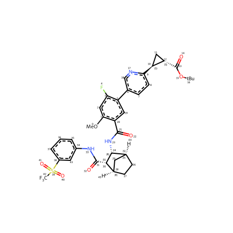 COc1cc(F)c(-c2ccc([C@H]3C[C@@H]3C(=O)OC(C)(C)C)nc2)cc1C(=O)N[C@@H]1[C@H]2CC[C@H](C2)[C@@H]1C(=O)Nc1cccc(S(=O)(=O)C(F)(F)F)c1